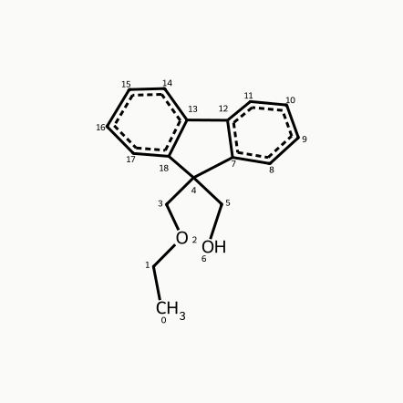 CCOCC1(CO)c2ccccc2-c2ccccc21